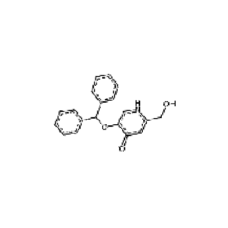 O=c1cc(CO)[nH]cc1OC(c1ccccc1)c1ccccc1